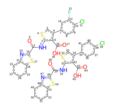 O=C(Nc1scc(-c2ccc(Cl)c(F)c2)c1C(=O)O)c1nc2ccccc2s1.O=C(Nc1scc(-c2ccc(Cl)cc2)c1C(=O)O)c1nc2ccccc2s1